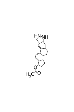 CC(=O)OC1CCC2C1=CC=C1C3=CC4CNNC4CC3CCC12